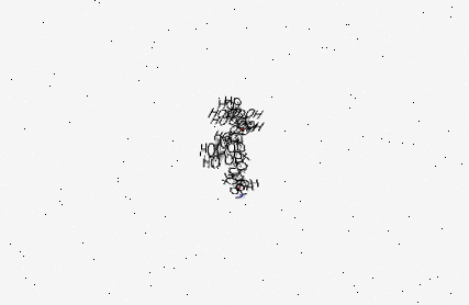 C/C=C(/C)C(=O)O[C@H]1CC(C)(C)C[C@H]2C3=CCC4[C@@]5(C)CC[C@H](O[C@@H]6O[C@H](C(=O)O)[C@@H](O[C@@H]7O[C@H](CO)[C@H](O)[C@H](O)[C@H]7O[C@@H]7O[C@H](CO)[C@@H](O)[C@H](O)[C@H]7O)[C@H](O)[C@H]6OC6O[C@@H](C)[C@H](O)[C@@H](O)[C@H]6O)C(C)(C)C5CC[C@@]4(C)[C@]3(C)C[C@@H](O)[C@@]12CO